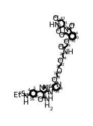 CCSNc1ccc(-c2n[nH]c(Nc3ccnc(OCCOCCOCCNC(=O)COc4cccc5c4C(=O)N(C4CCC(=O)NC4=O)C5=O)c3)c2C(N)=O)cc1